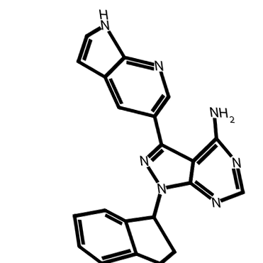 Nc1ncnc2c1c(-c1cnc3[nH]ccc3c1)nn2C1CCc2ccccc21